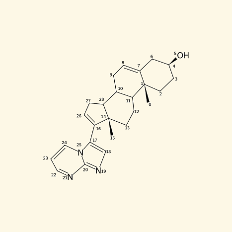 C[C@]12CC[C@H](O)CC1=CCC1C2CC[C@]2(C)C(c3cnc4ncccn34)=CCC12